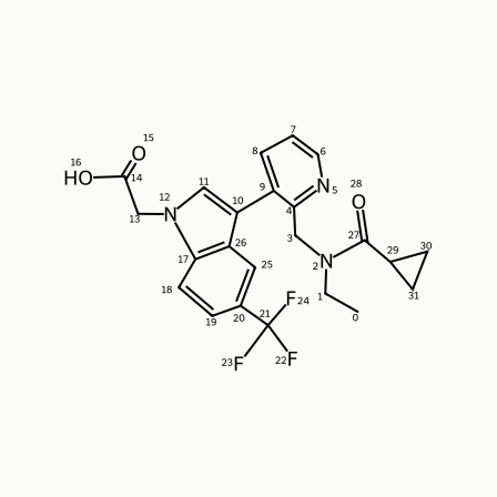 CCN(Cc1ncccc1-c1cn(CC(=O)O)c2ccc(C(F)(F)F)cc12)C(=O)C1CC1